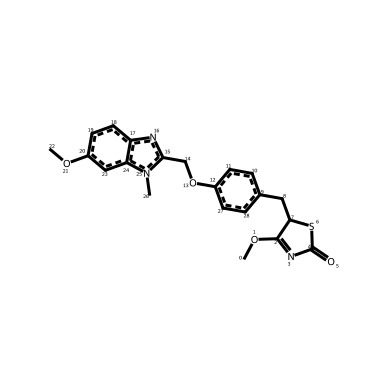 COC1=NC(=O)SC1Cc1ccc(OCc2nc3ccc(OC)cc3n2C)cc1